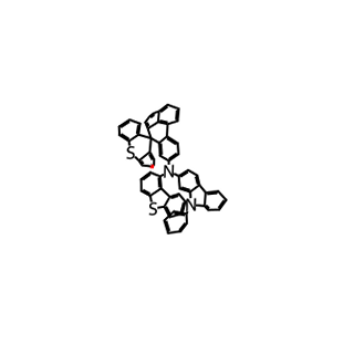 c1ccc(-n2c3ccccc3c3ccc(N(c4ccc5c(c4)C4(c6ccccc6Sc6ccccc64)c4cccc6cccc-5c46)c4cccc5sc6ccccc6c45)cc32)cc1